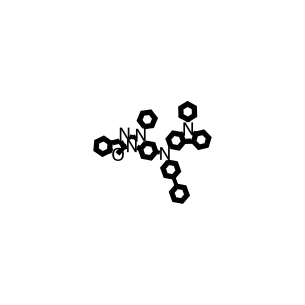 c1ccc(-c2ccc(N(c3ccc4c(c3)c3ccccc3n4-c3ccccc3)c3ccc4c(c3)n(-c3ccccc3)c3nc5c6ccccc6oc5n43)cc2)cc1